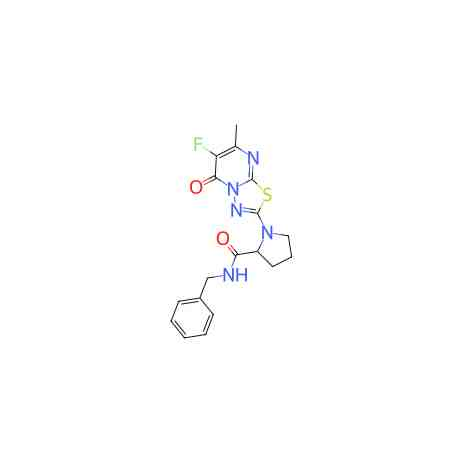 Cc1nc2sc(N3CCCC3C(=O)NCc3ccccc3)nn2c(=O)c1F